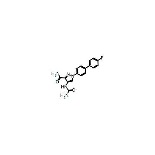 NC(=O)Nc1cn(-c2ccc(-c3ccc(F)cc3)cc2)nc1C(N)=O